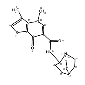 Cc1csc2c(=O)c(C(=O)NC3CCC4CCN3CC4)cn(C)c12